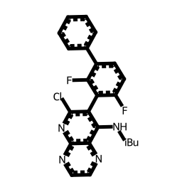 CCC(C)Nc1c(-c2c(F)ccc(-c3ccccc3)c2F)c(Cl)nc2nccnc12